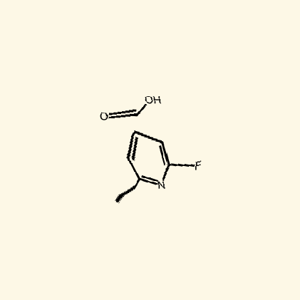 Cc1cccc(F)n1.O=CO